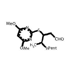 CCCCCC(C)C(CC=O)Sc1nc(OC)cc(OC)n1